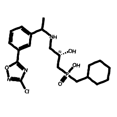 CC(NC[C@H](O)CP(=O)(O)CC1CCCCC1)c1cccc(-c2nc(Cl)no2)c1